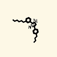 CCCCCCc1cccc(C2=CC=C(c3ccc(CCCC)cc3)[N+]2=[N-])c1.[CH3][Ni][CH3]